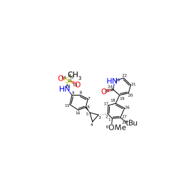 COc1c([C@@H]2C[C@H]2c2ccc(NS(C)(=O)=O)cc2)cc(-c2ccc[nH]c2=O)cc1C(C)(C)C